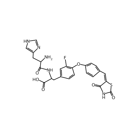 NC(Cc1c[nH]cn1)C(=O)NC(Cc1ccc(Oc2ccc(C=C3SC(=O)NC3=O)cc2)c(F)c1)C(=O)O